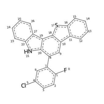 Fc1ccc(Cl)cc1-c1cc2c3ccccc3sc2c2c1[nH]c1ccccc12